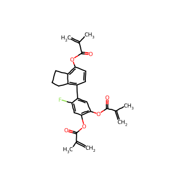 C=C(C)C(=O)Oc1cc(F)c(-c2ccc(OC(=O)C(=C)C)c3c2CCC3)cc1OC(=O)C(=C)C